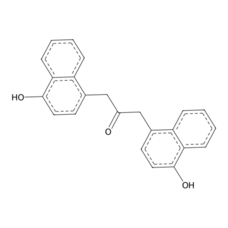 O=C(Cc1ccc(O)c2ccccc12)Cc1ccc(O)c2ccccc12